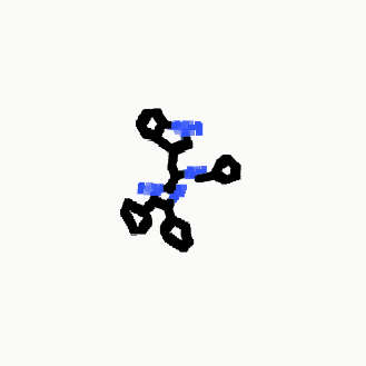 c1ccc(CNC(Cc2c[nH]c3ccccc23)c2nc(-c3ccccc3)c(-c3ccccc3)[nH]2)cc1